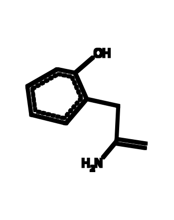 C=C(N)Cc1ccccc1O